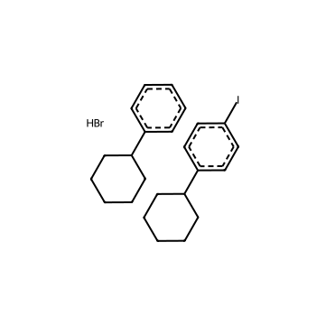 Br.Ic1ccc(C2CCCCC2)cc1.c1ccc(C2CCCCC2)cc1